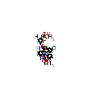 CC(C)(O)Oc1cccc(CONC(=O)[C@@H]2c3ccccc3C(=O)N([C@H]3CCCC[C@@H]3NS(C)(=O)=O)[C@H]2c2ccc(Cl)cc2Cl)c1